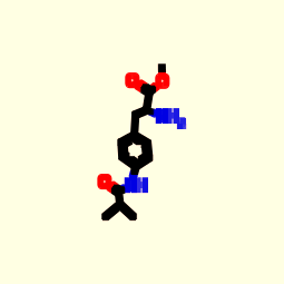 COC(=O)[C@@H](N)Cc1ccc(NC(=O)C(C)C)cc1